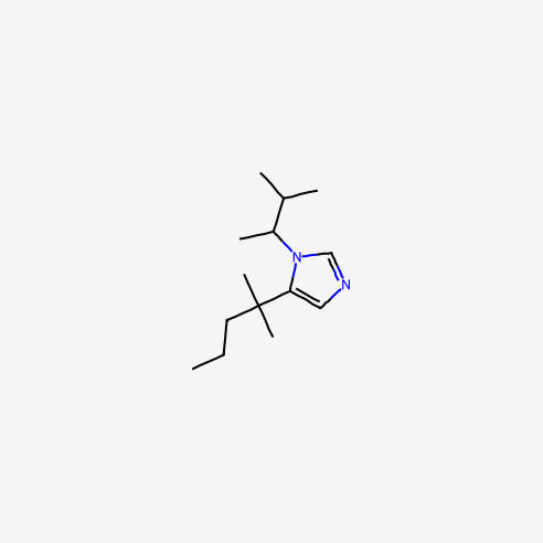 CCCC(C)(C)c1cncn1C(C)C(C)C